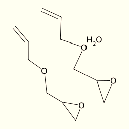 C=CCOCC1CO1.C=CCOCC1CO1.O